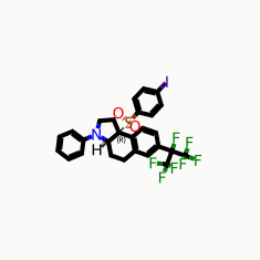 O=S(=O)(c1ccc(I)cc1)[C@@]12CCN(c3ccccc3)[C@@H]1CCc1cc(C(F)(C(F)(F)F)C(F)(F)F)ccc12